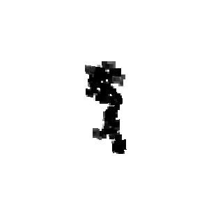 CCNC(=O)c1nnc(-c2cc(C(C)C)c(O)cc2O)n1-c1ccc(CN2CCN(Cc3cccc(C(=O)O[C@@H](C)C(=O)OCc4ccccc4)c3)CC2)cc1